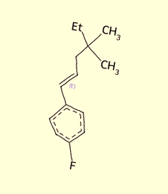 CCC(C)(C)C/C=C/c1ccc(F)cc1